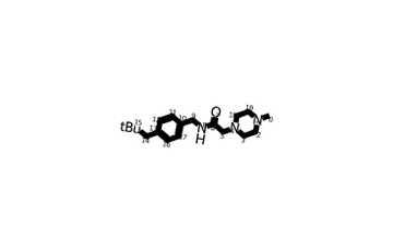 CN1CCN(CC(=O)NCc2ccc(CC(C)(C)C)cc2)CC1